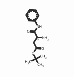 CC(C)(C)OC(=O)C[C@H](N)C(=O)Nc1ccccc1